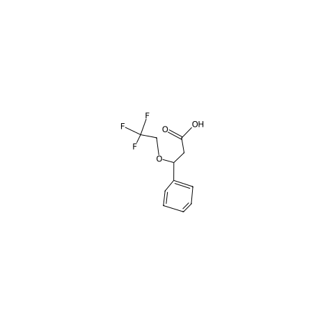 O=C(O)CC(OCC(F)(F)F)c1ccccc1